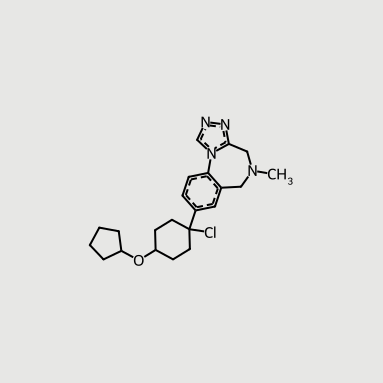 CN1Cc2cc(C3(Cl)CCC(OC4CCCC4)CC3)ccc2-n2cnnc2C1